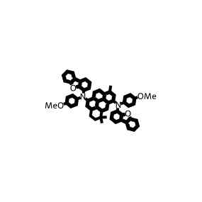 COc1ccc(N(c2cc(C)c3ccc4c(N(c5ccc(OC)cc5)c5cccc6c5oc5ccccc56)cc5c6c(cc2c3c46)C(C)(C)CC5)c2cccc3c2oc2ccccc23)cc1